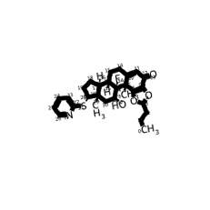 CCCC1OC2=C(O1)[C@@]1(C)C(=CC2=O)CC[C@H]2[C@@H]3CC[C@@H](Sc4ccccn4)[C@@]3(C)C[C@H](O)[C@@]21F